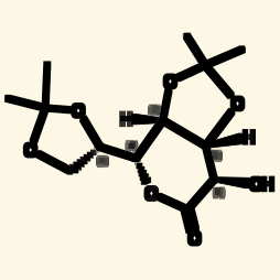 CC1(C)O[C@H]2[C@@H]([C@@H]3COC(C)(C)O3)OC(=O)[C@H](O)[C@H]2O1